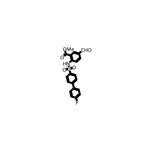 COC(=O)c1cc(C=O)ccc1NS(=O)(=O)c1ccc(-c2ccc(F)cc2)cc1